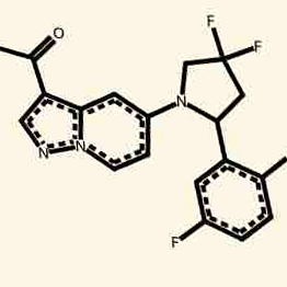 CC(=O)c1cnn2ccc(N3CC(F)(F)CC3c3cc(F)ccc3F)cc12